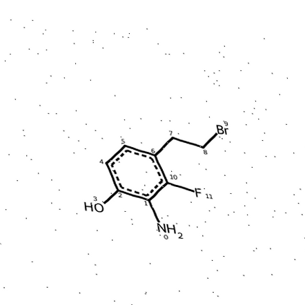 Nc1c(O)ccc(CCBr)c1F